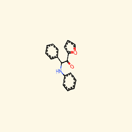 O=C(c1ccco1)C(Nc1ccccc1)c1ccccc1